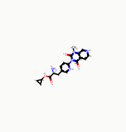 Cn1c(=O)n(-c2ccc(C[C@H](N)C(=O)OC3CC3)cn2)c(=O)c2ccncc21